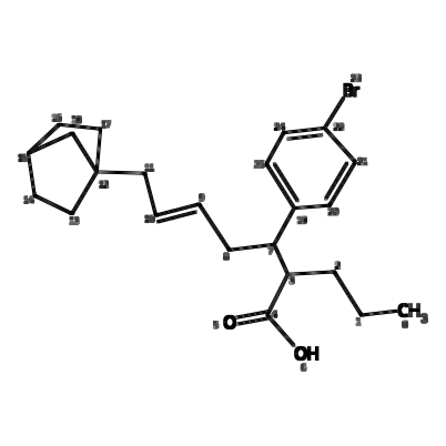 CCCC(C(=O)O)C(CC=CCC12CCC(CC1)C2)c1ccc(Br)cc1